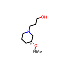 CNO[C@@H]1CCCN(CCCO)C1